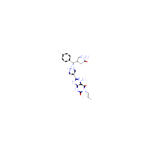 CCCn1c(=O)[nH]c2nc(-c3cnn(C(c4ccc(F)cc4)C4CNC(=O)C4)c3)[nH]c2c1=O